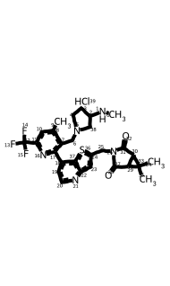 CNC1CCN(Cc2c(C)cc(C(F)(F)F)nc2-c2ccnc3cc(CN4C(=O)C5C(C4=O)C5(C)C)sc23)C1.Cl